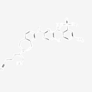 Cc1ccc(Nc2nc(Nc3ccc4c(c3)CC[C@H](N(CS)CCCC#N)CC4)ncc2Cl)c(P(C)(C)=O)c1